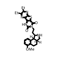 CCc1nc2sc3c(=O)n(CCC4NC[C@@H]5CCc6c(OC)cccc6[C@H]45)c(=O)[nH]c3c2nc1CC